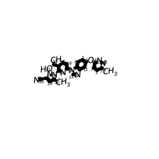 Cc1ccc(Oc2ccc3c(c2)ncn3-c2ccc(C(C)O)c(-n3nc(C#N)cc3C)n2)nn1